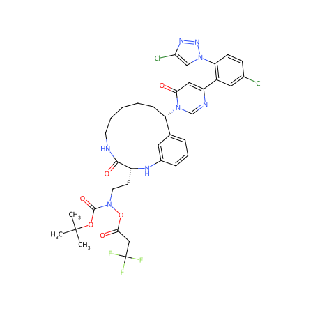 CC(C)(C)OC(=O)N(CC[C@H]1Nc2cccc(c2)[C@@H](n2cnc(-c3cc(Cl)ccc3-n3cc(Cl)nn3)cc2=O)CCCCCNC1=O)OC(=O)CC(F)(F)F